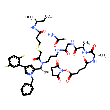 C[C@H](NC(=O)CCCC(=O)ON1C(=O)CCC1=O)C(=O)N[C@H](C)C(=O)N[C@@H](CC(N)=O)C(=O)NCCCN(C(=O)CSCCC(=O)N[C@H](CC(=O)O)C(=O)O)[C@@H](c1cc(-c2cc(F)ccc2F)cn1Cc1ccccc1)C(C)(C)C